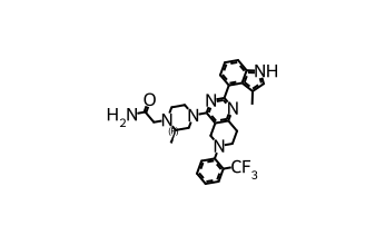 Cc1c[nH]c2cccc(-c3nc4c(c(N5CCN(CC(N)=O)[C@H](C)C5)n3)CN(c3ccccc3C(F)(F)F)CC4)c12